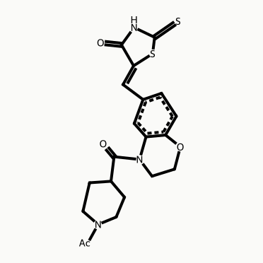 CC(=O)N1CCC(C(=O)N2CCOc3ccc(/C=C4\SC(=S)NC4=O)cc32)CC1